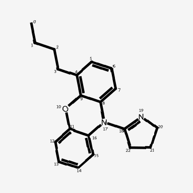 CCCCc1cccc2c1Oc1ccccc1N2C1=NCCC1